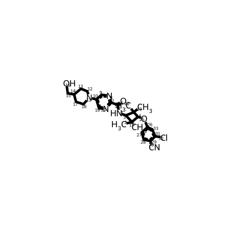 CC1(C)C(NC(=O)c2ncc(N3CCC(CO)CC3)cn2)C(C)(C)C1Oc1ccc(C#N)c(Cl)c1